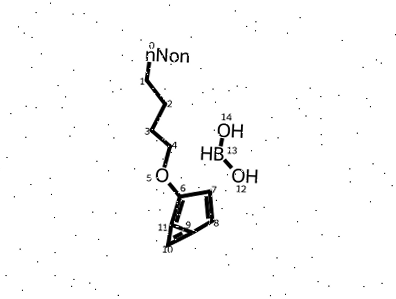 CCCCCCCCCCCCCOc1ccc2cc1-2.OBO